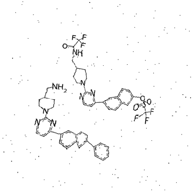 NCC1CCN(c2nccc(-c3ccc4cc(-c5ccccc5)ccc4c3)n2)CC1.O=C(NCC1CCN(c2nccc(-c3ccc4cc(OS(=O)(=O)C(F)(F)F)ccc4c3)n2)CC1)C(F)(F)F